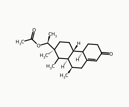 CC(=O)O[C@@H](C)[C@@]1(C)CC[C@H]2[C@H](C1C)[C@H](C)CC1=CC(=O)CC[C@@H]12